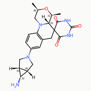 C[C@@H]1CN2c3ccc(N4C[C@@H]5[C@@H](N)[C@@H]5C4)cc3CC3(C(=O)NC(=O)NC3=O)[C@H]2[C@H](C)O1